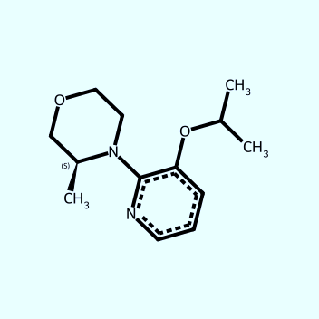 CC(C)Oc1cccnc1N1CCOC[C@@H]1C